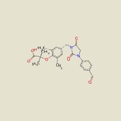 Cc1cc(CN2C(=O)CN(c3ccc(C=O)cc3)C2=O)cc(C)c1OC(C)(C)C(=O)O